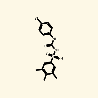 Cc1cc(S(=N)(=O)NC(=O)Nc2ccc(Cl)cc2)cc(C)c1C